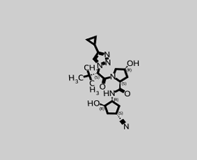 CC(C)(C)[C@@H](C(=O)N1C[C@H](O)C[C@H]1C(=O)N[C@@H]1C[C@H](C#N)C[C@H]1O)n1cc(C2CC2)nn1